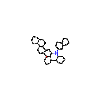 c1ccc(-c2ccccc2N(c2ccc3ccccc3c2)c2ccc3ccc4c5ccccc5ccc4c3c2)cc1